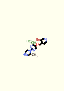 C[C@@H]1CNCCN1c1ncc(OCc2ccncc2Br)cn1.Cl.Cl